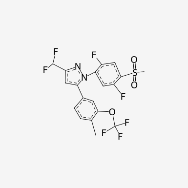 Cc1ccc(-c2cc(C(F)F)nn2-c2cc(F)c(S(C)(=O)=O)cc2F)cc1OC(F)(F)F